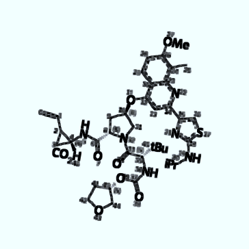 C=CC1C[C@]1(NC(=O)[C@@H]1C[C@@H](Oc2cc(-c3csc(NC(C)C)n3)nc3c(C)c(OC)ccc23)CN1C(=O)[C@@H](NC(=O)O[C@H]1CCOC1)C(C)(C)C)C(=O)O